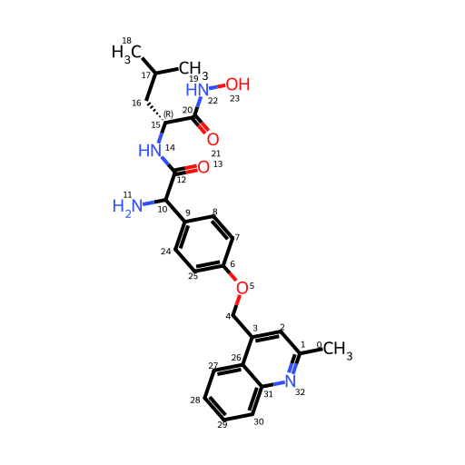 Cc1cc(COc2ccc(C(N)C(=O)N[C@H](CC(C)C)C(=O)NO)cc2)c2ccccc2n1